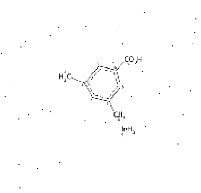 Cc1cc(C)cc(C(=O)O)c1.[InH3]